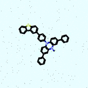 CN1c2cc(-c3ccccc3)ccc2N(c2ccc(-c3ccc4sc5ccccc5c4c3)cc2)c2ccc(-c3ccccc3)cc21